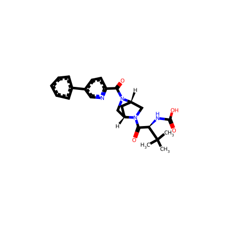 CC(C)(C)[C@H](NC(=O)O)C(=O)N1C[C@@H]2C[C@H]1CN2C(=O)c1ccc(-c2ccccc2)cn1